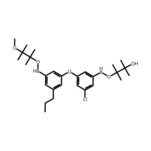 CCCc1cc(BOC(C)(C)C(C)(C)OC)cc(Oc2cc(Cl)cc(BOC(C)(C)C(C)(C)O)c2)c1